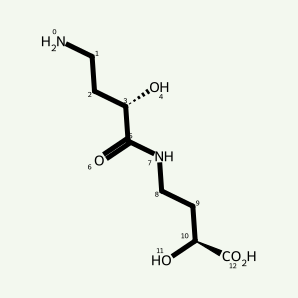 NCC[C@H](O)C(=O)NCC[C@H](O)C(=O)O